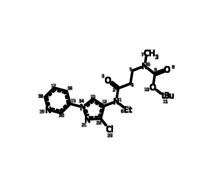 CCN(C(=O)CCN(C)C(=O)OC(C)(C)C)c1cn(-c2cccnc2)nc1Cl